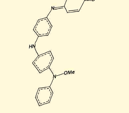 CON(c1ccccc1)c1ccc(Nc2ccc(N=C3C=CC(=O)C=C3)cc2)cc1